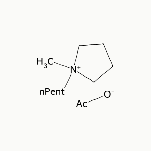 CC(=O)[O-].CCCCC[N+]1(C)CCCC1